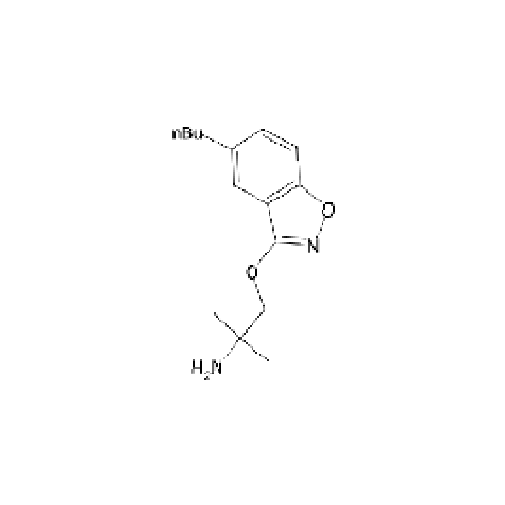 CCCCc1ccc2onc(OCC(C)(C)N)c2c1